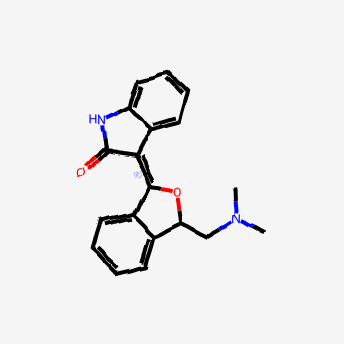 CN(C)CC1O/C(=C2/C(=O)Nc3ccccc32)c2ccccc21